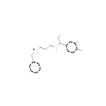 O=P(O)(Cc1ccccc1)C[C@@H](O)CNC(CO)c1ccc(Cl)c(Cl)c1